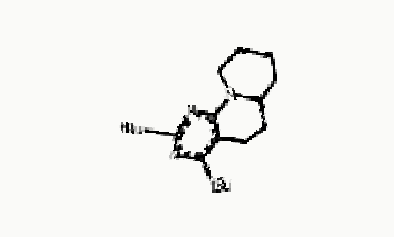 CC(C)(C)c1nc2c(c(C(C)(C)C)n1)CCC1CCCCN21